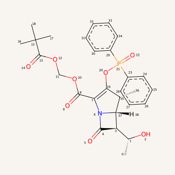 C[C@@H](O)[C@H]1C(=O)N2C(C(=O)OCOC(=O)C(C)(C)C)=C(OP(=O)(c3ccccc3)c3ccccc3)[C@H](C)[C@H]12